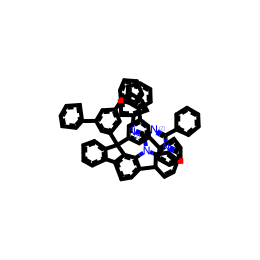 C=N/C(=N\C(=N/c1ccccc1)N1c2c(ccc3c2C(c2cc(-c4ccccc4)cc(-c4ccccc4)c2)(c2cc(-c4ccccc4)cc(-c4ccccc4)c2)c2ccccc2-3)C2C=CC=CC21)c1ccccc1